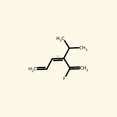 C=C/C=C(\C(=C)F)C(C)C